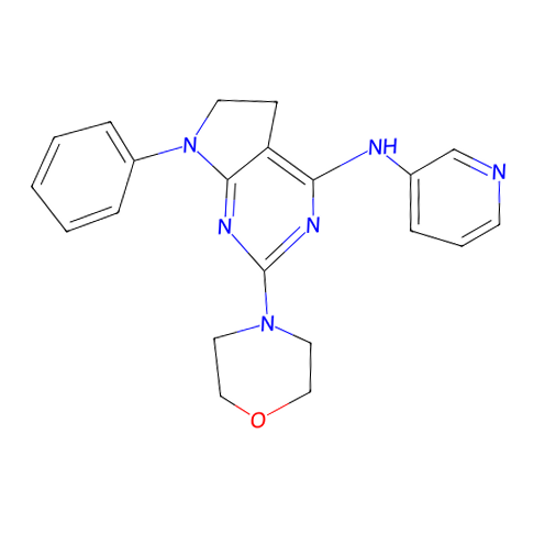 c1ccc(N2CCc3c(Nc4cccnc4)nc(N4CCOCC4)nc32)cc1